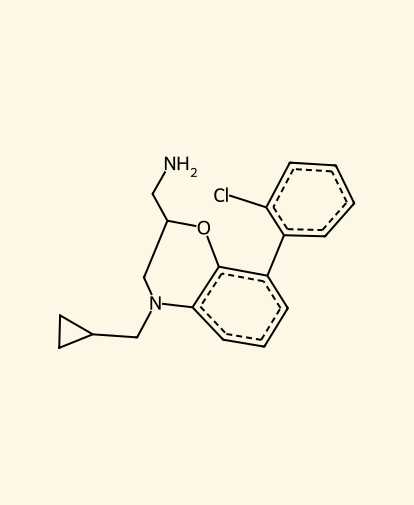 NCC1CN(CC2CC2)c2cccc(-c3ccccc3Cl)c2O1